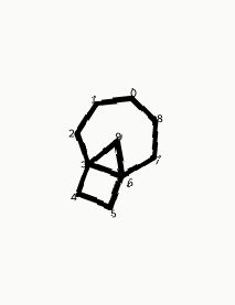 C1CCC23CCC2(CC1)C3